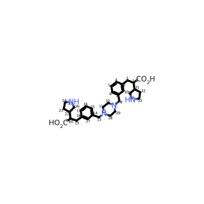 O=C(O)C(Cc1cccc(CN2CCN(Cc3cccc(CC(C(=O)O)C4CCNC4)c3)CC2)c1)C1CCNC1